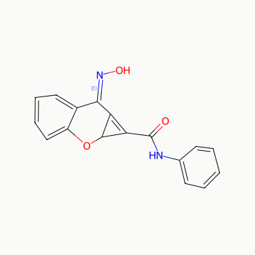 O=C(Nc1ccccc1)C1=C2/C(=N\O)c3ccccc3OC12